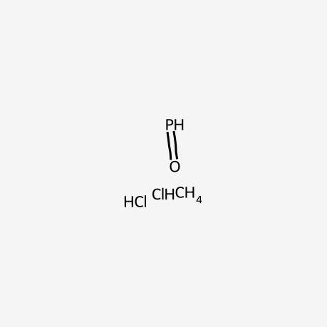 C.Cl.Cl.O=P